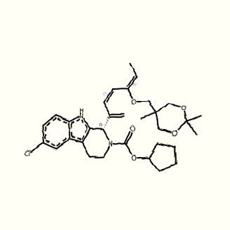 C=C(/C=C\C(=C/C)OCC1(C)COC(C)(C)OC1)[C@H]1c2[nH]c3ccc(Cl)cc3c2CCN1C(=O)OC1CCCC1